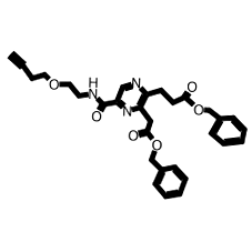 C#CCCOCCNC(=O)c1cnc(CCC(=O)OCc2ccccc2)c(CC(=O)OCc2ccccc2)n1